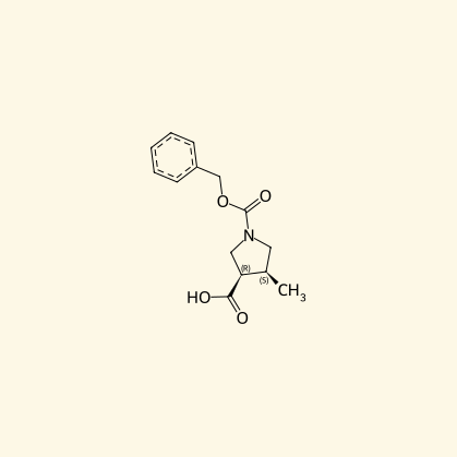 C[C@@H]1CN(C(=O)OCc2ccccc2)C[C@@H]1C(=O)O